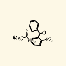 COC(N)=O.O=C(c1ccccc1)c1ccccc1[N+](=O)[O-]